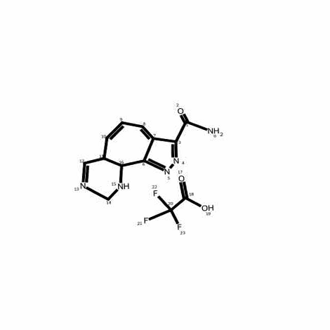 NC(=O)C1=NN=C2C1=CC=CC1C=NCNC21.O=C(O)C(F)(F)F